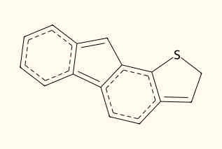 C1=c2ccc3c(c2SC1)C=c1ccccc1=3